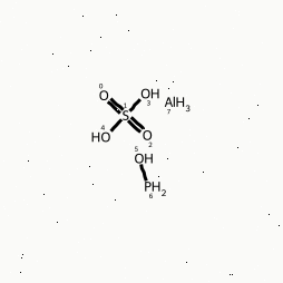 O=S(=O)(O)O.OP.[AlH3]